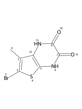 Cc1c(Br)sc2[nH]c(=O)c(=O)[nH]c12